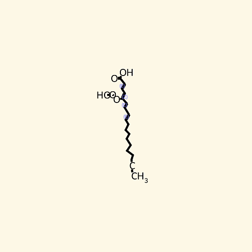 CCCCCCCCCCC/C=C/C=C/C(=C/C=C/C(=O)O)OOO